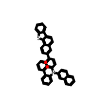 c1ccc(-c2ccccc2N(c2ccc(-c3ccc4c(ccc5c6ccccc6sc45)c3)cc2)c2ccc3ccccc3c2)cc1